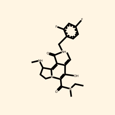 C/C=C1/C(O)=C(C(=O)N(C)CC)N2CCC(NC)C2=C1C(=O)NCc1ccc(F)cc1F